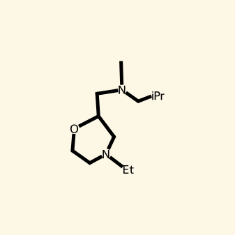 CCN1CCOC(CN(C)CC(C)C)C1